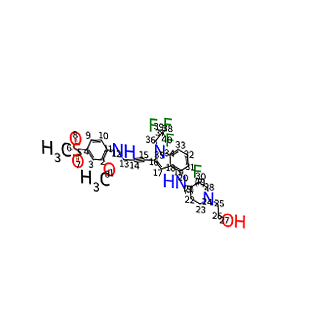 COc1cc(S(C)(=O)=O)ccc1NCC#Cc1cc2c(N[C@H]3CCN(CCO)C[C@H]3F)cccc2n1CC(F)(F)F